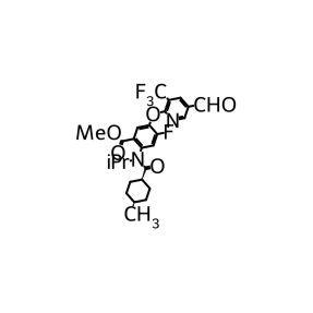 COC(=O)c1cc(Oc2ncc(C=O)cc2C(F)(F)F)c(F)cc1N(C(=O)[C@H]1CC[C@H](C)CC1)C(C)C